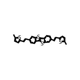 Cc1ccc(/C=C/c2ccc3c(c2)sc2c4ccc(/C=C/c5ccc(C)s5)cc4sc32)s1